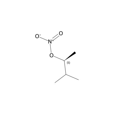 CC(C)[C@H](C)O[N+](=O)[O-]